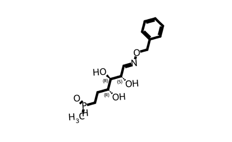 C[PH](=O)CC[C@@H](O)[C@@H](O)[C@@H](O)C=NOCc1ccccc1